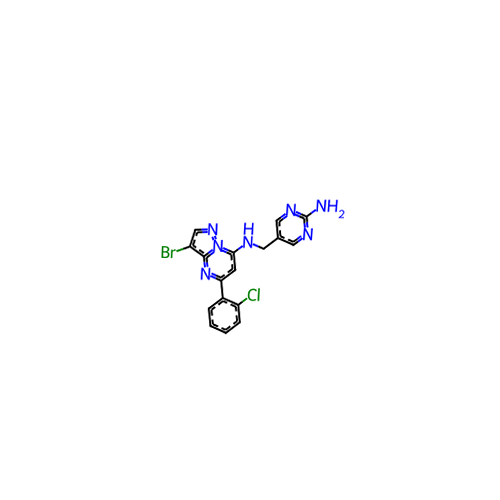 Nc1ncc(CNc2cc(-c3ccccc3Cl)nc3c(Br)cnn23)cn1